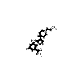 CC1(c2cnn3c2[nH]c2cc(F)cc(C(N)=O)c23)CCN(CCC(F)(F)F)CC1